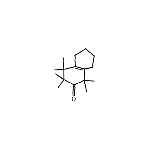 CC1(C)C(=O)C(C)(C)C(C)(C)C2=C1CCCC2